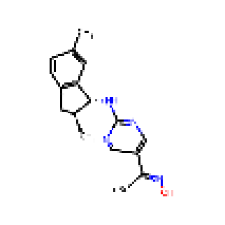 CCCC/C(=N\O)c1cnc(N[C@H]2c3cc(C)ccc3C[C@@H]2C)nc1